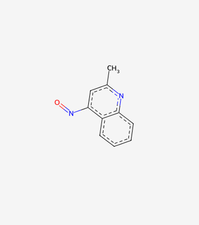 Cc1cc(N=O)c2ccccc2n1